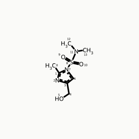 Cc1nc(CO)cn1S(=O)(=O)N(C)C